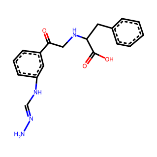 NN=CNc1cccc(C(=O)CNC(Cc2ccccc2)C(=O)O)c1